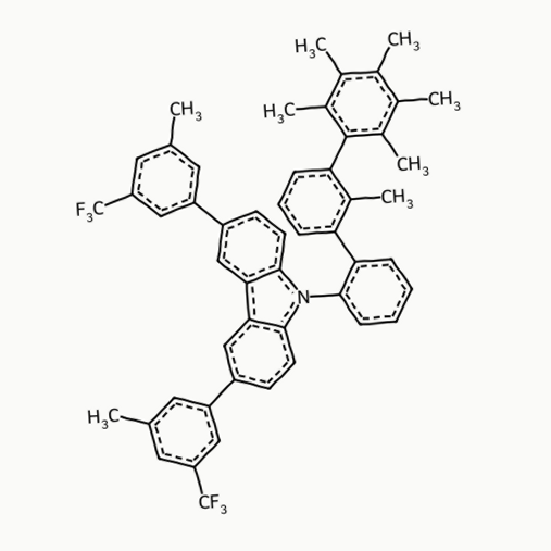 Cc1cc(-c2ccc3c(c2)c2cc(-c4cc(C)cc(C(F)(F)F)c4)ccc2n3-c2ccccc2-c2cccc(-c3c(C)c(C)c(C)c(C)c3C)c2C)cc(C(F)(F)F)c1